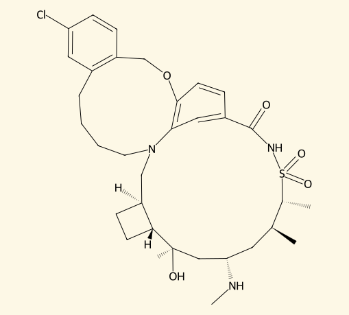 CN[C@H]1C[C@H](C)[C@@H](C)S(=O)(=O)NC(=O)c2ccc3c(c2)N(CCCCc2cc(Cl)ccc2CO3)C[C@@H]2CC[C@H]2[C@](C)(O)C1